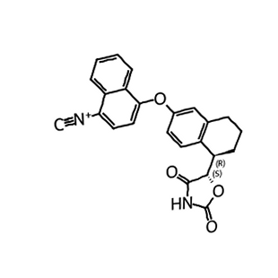 [C-]#[N+]c1ccc(Oc2ccc3c(c2)CCC[C@H]3[C@@H]2OC(=O)NC2=O)c2ccccc12